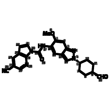 COc1cc2nn([C@H]3CC[C@H](C=O)CC3)cc2cc1NC(=O)n1ccc2cc(C#N)cnc21